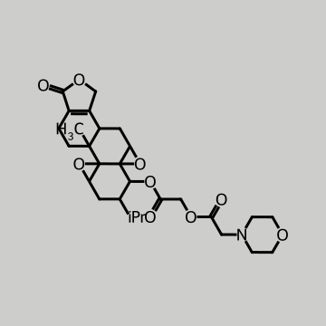 CC(C)C1CC2OC23C2(C)CCC4=C(COC4=O)C2CC2OC23C1OC(=O)COC(=O)CN1CCOCC1